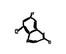 Clc1cc(Cl)c2ncc(Cl)nc2c1